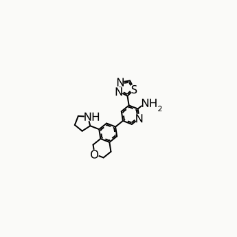 Nc1ncc(-c2cc3c(c(C4CCCN4)c2)COCC3)cc1-c1nncs1